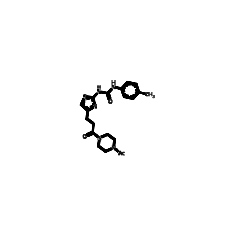 CC(=O)N1CCN(C(=O)CCc2csc(NC(=O)Nc3ccc(C)cc3)n2)CC1